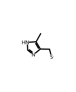 Cc1[nH]cnc1C[S]